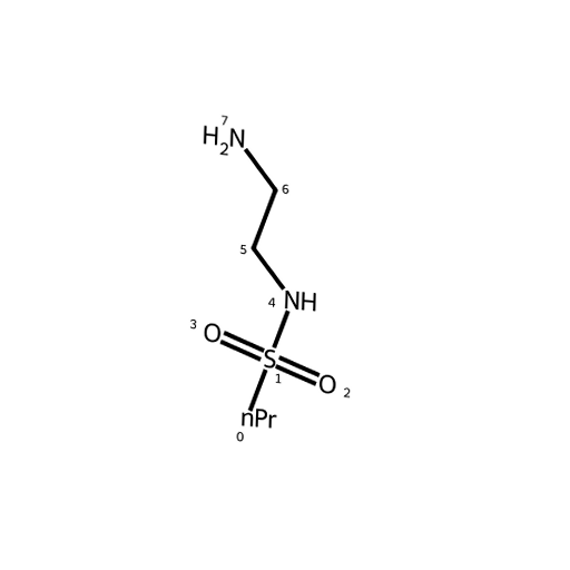 CCCS(=O)(=O)NCCN